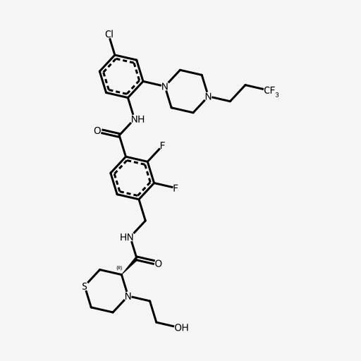 O=C(Nc1ccc(Cl)cc1N1CCN(CCC(F)(F)F)CC1)c1ccc(CNC(=O)[C@@H]2CSCCN2CCO)c(F)c1F